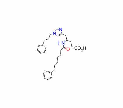 O=C(O)CCC(Cc1cn(CCCc2ccccc2)cn1)NC(=O)CCCCCCc1ccccc1